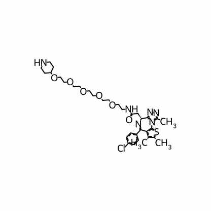 Cc1sc2c(c1C)C(c1ccc(Cl)cc1)=N[C@@H](CC(=O)NCCOCCOCCOCCOCCOC1CCNCC1)c1nnc(C)n1-2